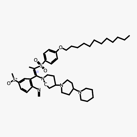 C=Nc1ccc([S+](C)[O-])cc1/C(=C(\C)S(=O)(=O)c1ccc(OCCCCCCCCCCCC)cc1)N1CCC(N2CCC(N3CCCCC3)CC2)CC1